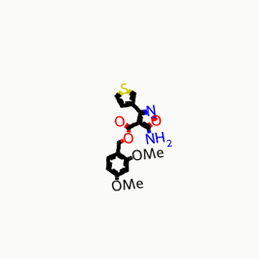 COc1ccc(COC(=O)c2c(-c3ccsc3)noc2N)c(OC)c1